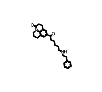 O=C(CCCCCNCCc1ccccc1)c1cc2c3c(c1)CCC(=O)N3CCC2